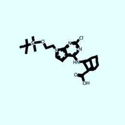 CC(C)(C)[Si](C)(C)OCCn1ccc2c(NC3C4CCC(CC4)C3C(=O)O)nc(Cl)nc21